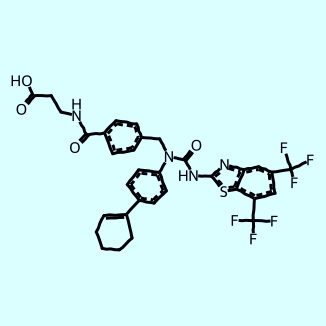 O=C(O)CCNC(=O)c1ccc(CN(C(=O)Nc2nc3cc(C(F)(F)F)cc(C(F)(F)F)c3s2)c2ccc(C3=CCCCC3)cc2)cc1